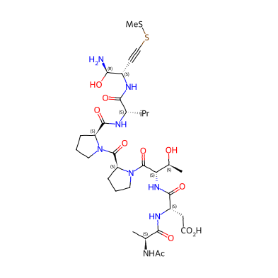 CSSC#C[C@H](NC(=O)[C@@H](NC(=O)[C@@H]1CCCN1C(=O)[C@@H]1CCCN1C(=O)[C@@H](NC(=O)[C@H](CC(=O)O)NC(=O)[C@H](C)NC(C)=O)[C@H](C)O)C(C)C)[C@H](N)O